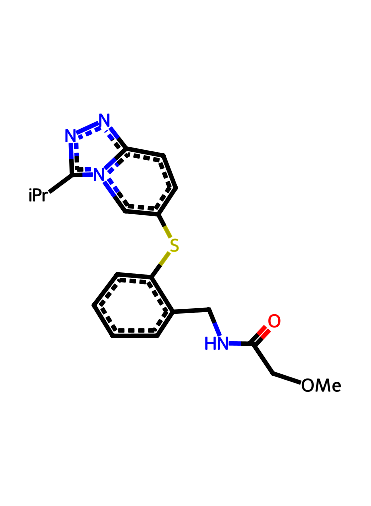 COCC(=O)NCc1ccccc1Sc1ccc2nnc(C(C)C)n2c1